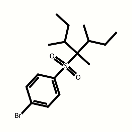 CCC(C)C(C)(C(C)CC)S(=O)(=O)c1ccc(Br)cc1